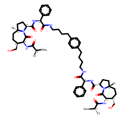 CC[C@H](NC)C(=O)N[C@@H]1C(=O)N2[C@@H](CC[C@@H]1CO)CC[C@H]2C(=O)N[C@H](C(=O)NCCCCc1ccc(CCCCNC(=O)[C@@H](NC(=O)[C@@H]2CC[C@@H]3CC[C@H](CO)[C@H](NC(=O)[C@H](CC)NC)C(=O)N32)c2ccccc2)cc1)c1ccccc1